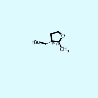 C[C@@H]1OCC[C@H]1CC(C)(C)C